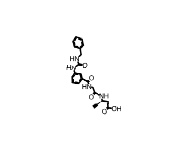 C#C[C@H](CC(=O)O)NC(=O)CNC(=O)c1cccc(NC(=O)NCc2ccccc2)c1